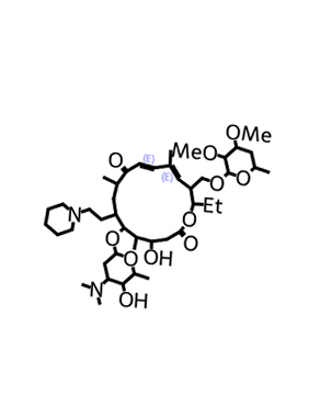 CCC1OC(=O)CC(O)C(C)C(OC2CC(N(C)C)C(O)C(C)O2)C(CCN2CCCCC2)CC(C)C(=O)/C=C/C(C)=C/C1COC1OC(C)CC(OC)C1OC